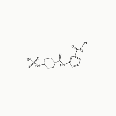 CCC(C)S(=O)(=O)NC1CCC(C(=O)Nc2cccc(C(=O)NC(C)C)c2)CC1